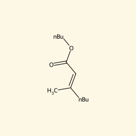 CCCCOC(=O)/C=C(\C)CCCC